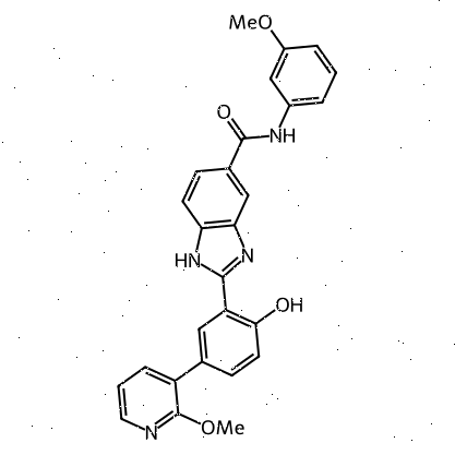 COc1cccc(NC(=O)c2ccc3[nH]c(-c4cc(-c5cccnc5OC)ccc4O)nc3c2)c1